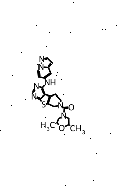 C[C@@H]1CN(C(=O)N2CCc3c(sc4ncnc(Nc5ccn6nccc6c5)c34)C2)C[C@H](C)O1